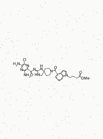 COC(=O)CCCn1ccc2c(C(=O)N3CCC4(CC3)CN/C(=N\C(=O)c3nc(Cl)c(N)nc3N)N4)cccc21